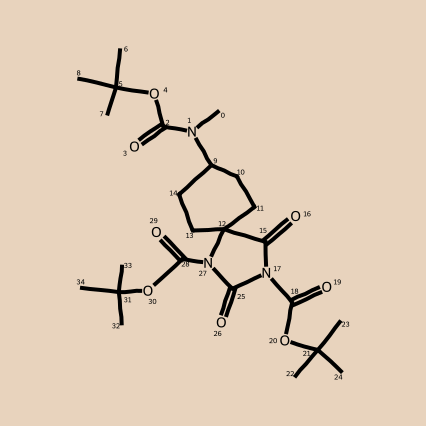 CN(C(=O)OC(C)(C)C)C1CCC2(CC1)C(=O)N(C(=O)OC(C)(C)C)C(=O)N2C(=O)OC(C)(C)C